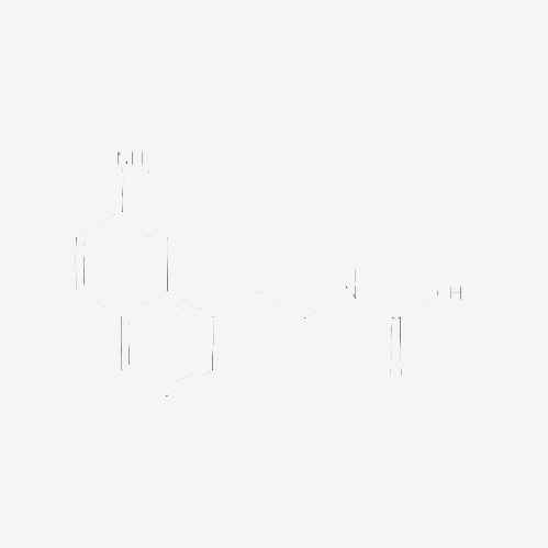 CC(=O)NCCc1cccc2ccc(N)cc12